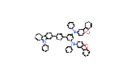 C1=Cc2oc3ccc(N(c4ccccc4)c4cc(-c5ccc(-c6ccc7c8c(n(-c9ccccc9)c7c6)C=CCC8)cc5)cc(N(c5ccccc5)c5ccc6oc7ccccc7c6c5)c4)cc3c2CC1